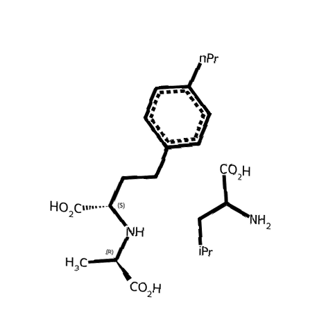 CC(C)CC(N)C(=O)O.CCCc1ccc(CC[C@H](N[C@H](C)C(=O)O)C(=O)O)cc1